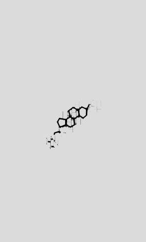 CC[C@@]1(O)CC[C@H]2[C@H](CC[C@@H]3[C@@H]2CC[C@]2(C)[C@@H](C(=O)Cn4ncnn4)CC[C@@H]32)C1